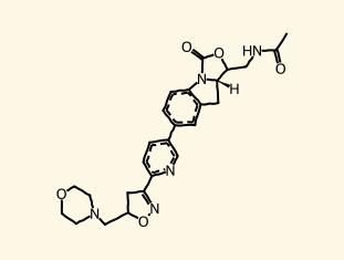 CC(=O)NCC1OC(=O)N2c3ccc(-c4ccc(C5=NOC(CN6CCOCC6)C5)nc4)cc3C[C@@H]12